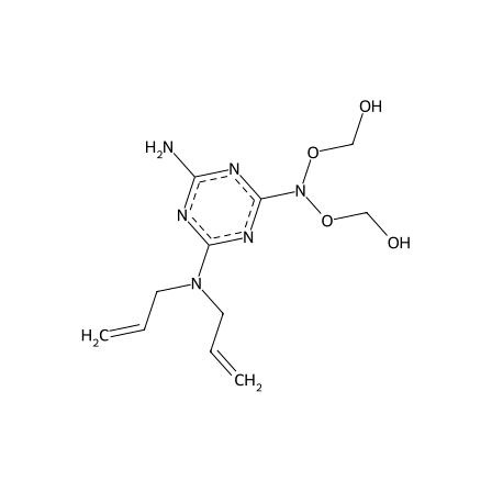 C=CCN(CC=C)c1nc(N)nc(N(OCO)OCO)n1